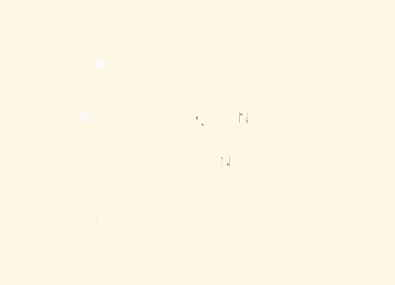 C=C/C(=C\C=C/C)c1cccc2oc3c4ccccc4c(-c4nc(-c5cccc6ccccc56)nc(-c5cccc6ccccc56)n4)cc3c12